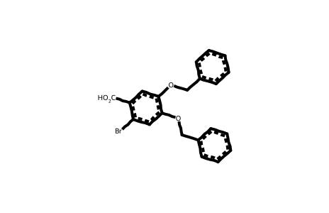 O=C(O)c1cc(OCc2ccccc2)c(OCc2ccccc2)cc1Br